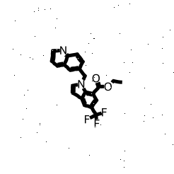 CCOC(=O)c1cc(C(F)(F)F)cc2ccn(Cc3ccc4ncccc4c3)c12